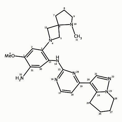 COc1cc(N2CC3(CCCN3C)C2)c(Nc2nccc(-c3cnn4c3CCCC4)n2)cc1N